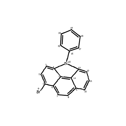 Brc1ccc2c3c1ccc1cccc(c13)n2-c1ccccc1